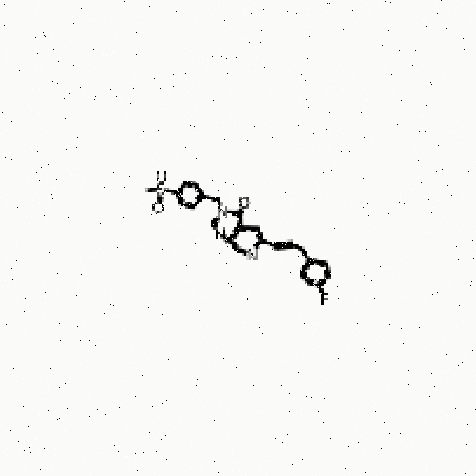 CS(=O)(=O)c1ccc(Cn2cnc3cnc(C#CCc4ccc(F)cc4)cc3c2=O)cc1